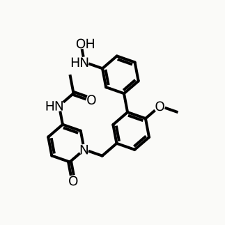 COc1ccc(Cn2cc(NC(C)=O)ccc2=O)cc1-c1cccc(NO)c1